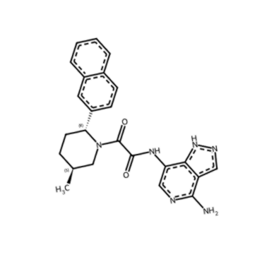 C[C@H]1CC[C@H](c2ccc3ccccc3c2)N(C(=O)C(=O)Nc2cnc(N)c3cn[nH]c23)C1